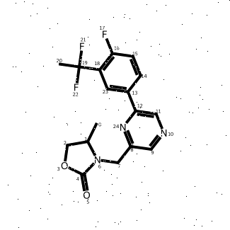 CC1COC(=O)N1Cc1cncc(-c2ccc(F)c(C(C)(F)F)c2)n1